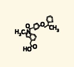 Cc1cc2c(CC(=O)O)cccc2n1C(=O)c1ccc(OCC(C)c2ccccc2)cc1